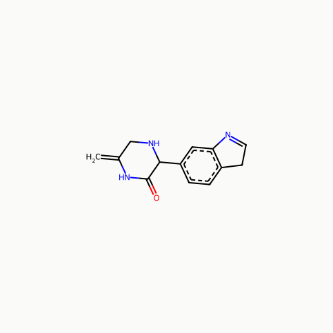 C=C1CNC(c2ccc3c(c2)N=CC3)C(=O)N1